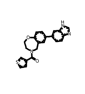 O=C(c1ccsc1)N1CCOc2ccc(-c3ccc4nc[nH]c4c3)cc2C1